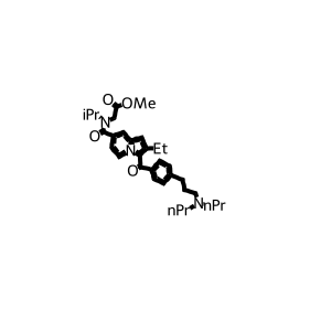 CCCN(CCC)CCCc1ccc(C(=O)c2c(CC)cc3cc(C(=O)N(CC(=O)OC)C(C)C)ccn23)cc1